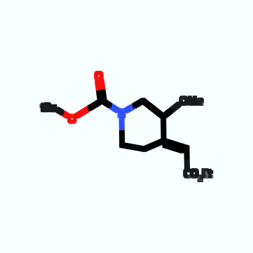 CCOC(=O)C=C1CCN(C(=O)OC(C)(C)C)CC1OC